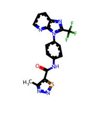 Cc1nnsc1C(=O)Nc1ccc(-n2c(C(F)(F)F)nc3cccnc32)cc1